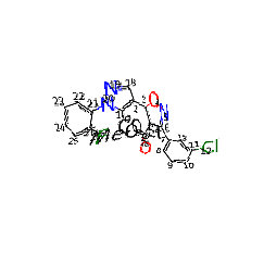 CCOC(=O)c1c(-c2onc(-c3cccc(Cl)c3)c2C(=O)OC)cnn1-c1ccccc1F